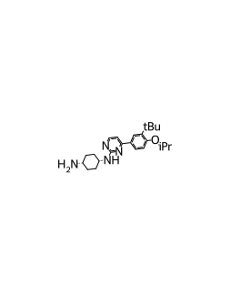 CC(C)Oc1ccc(-c2ccnc(N[C@H]3CC[C@@H](N)CC3)n2)cc1C(C)(C)C